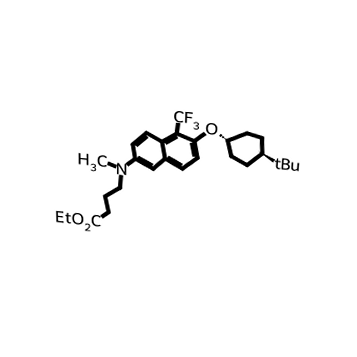 CCOC(=O)CCCN(C)c1ccc2c(C(F)(F)F)c(O[C@H]3CC[C@H](C(C)(C)C)CC3)ccc2c1